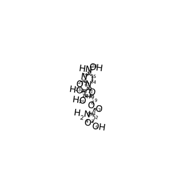 N[C@H](CC(=O)O)C(=O)OC[C@H]1O[C@@H](n2ccc(NO)nc2=O)[C@H](O)[C@@H]1O